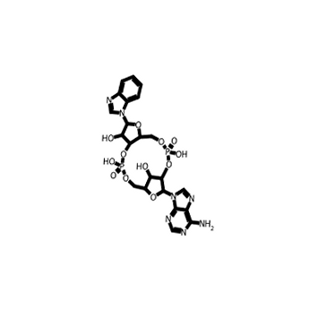 Nc1ncnc2c1ncn2C1OC2COP(=O)(O)OC3C(COP(=O)(O)OC1C2O)OC(n1cnc2ccccc21)C3O